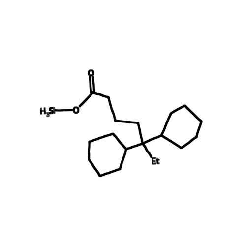 CCC(CCCC(=O)O[SiH3])(C1CCCCC1)C1CCCCC1